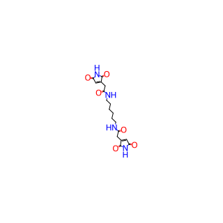 O=C1C=C(CC(=O)NCCCCCCNC(=O)CC2=CC(=O)NC2=O)C(=O)N1